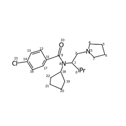 CC(C)C(CN1CCCC1)N(C(=O)c1ccc(Cl)cc1)C1CCCC1